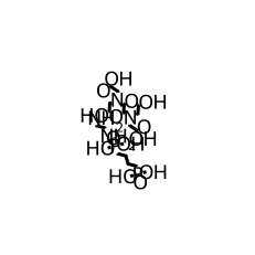 NCCN.O=C(O)CN(CCN(CC(=O)O)CC(=O)O)CC(=O)O.O=P(O)(O)CCCCP(=O)(O)O